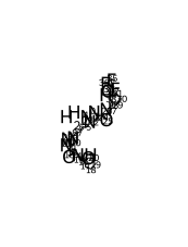 N/C(=C\N(N)CCCCn1cc(C(=O)NCC2CCCCO2)nn1)C(=O)NCc1cccc(OC(F)(F)F)c1